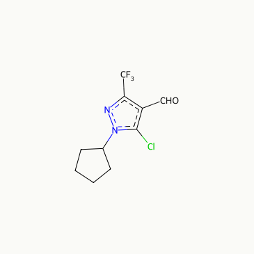 O=Cc1c(C(F)(F)F)nn(C2CCCC2)c1Cl